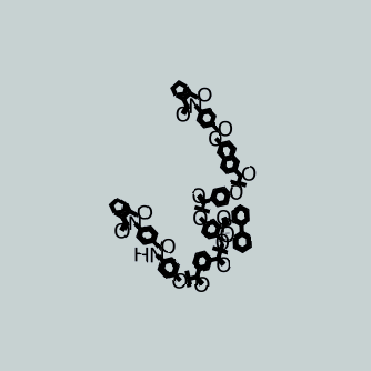 CC(C)(Oc1ccc(OC(C)(C)C(=O)c2cccc(C(=O)C(C)(C)Oc3ccc(NC(=O)c4ccc(N5C(=O)C6C7CCC(C7)C6C5=O)cc4)cc3)c2)c(P2(=O)Oc3ccccc3-c3ccccc32)c1)C(=O)c1ccc(OC(C)(C)C(=O)c2ccc3cc(OC(=O)c4ccc(N5C(=O)C6C7CCC(C7)C6C5=O)cc4)ccc3c2)cc1